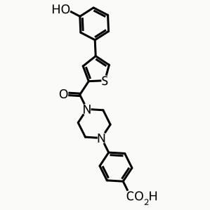 O=C(O)c1ccc(N2CCN(C(=O)c3cc(-c4cccc(O)c4)cs3)CC2)cc1